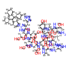 CC(C)C[C@H](NC(=O)[C@H](Cc1c[nH]cn1)NC(=O)[C@@H](NC(=O)[C@H](CC(=O)O)NC(=O)[C@H](CC(=O)O)NC(=O)[C@H](CC(=O)O)NC(=O)[C@H](CC(=O)O)NC(=O)[C@H](CC(=O)O)NC(=O)C(N)Cc1cn(Cc2ccc(C(=C(c3ccccc3)c3ccccc3)c3ccccc3)cc2)nn1)C(C)C)C(=O)NCC(=O)N[C@@H](Cc1ccc(O)cc1)C(=O)N[C@@H](C)C(=O)N[C@H](C(N)=O)C(C)O